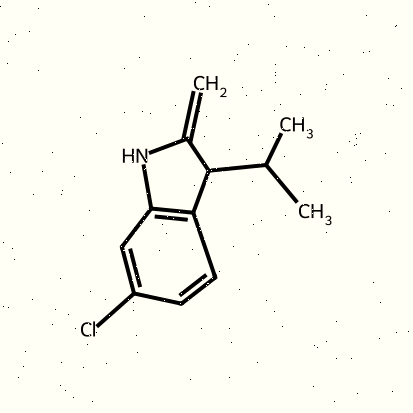 C=C1Nc2cc(Cl)ccc2C1C(C)C